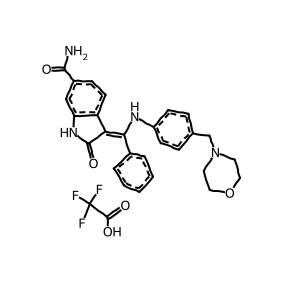 NC(=O)c1ccc2c(c1)NC(=O)C2=C(Nc1ccc(CN2CCOCC2)cc1)c1ccccc1.O=C(O)C(F)(F)F